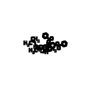 CC(C)CCC[C@@H](C)[C@H]1CC[C@H]2[C@@H]3CC=C4C[C@@H](OC(=O)c5ccccc5)C[C@H](OC(=O)c5ccccc5)[C@]4(C)[C@H]3CC[C@]12C